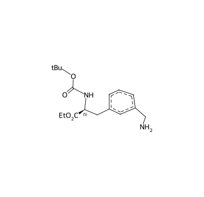 CCOC(=O)[C@H](Cc1cccc(CN)c1)NC(=O)OC(C)(C)C